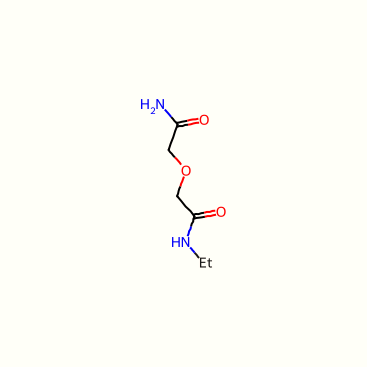 CCNC(=O)COCC(N)=O